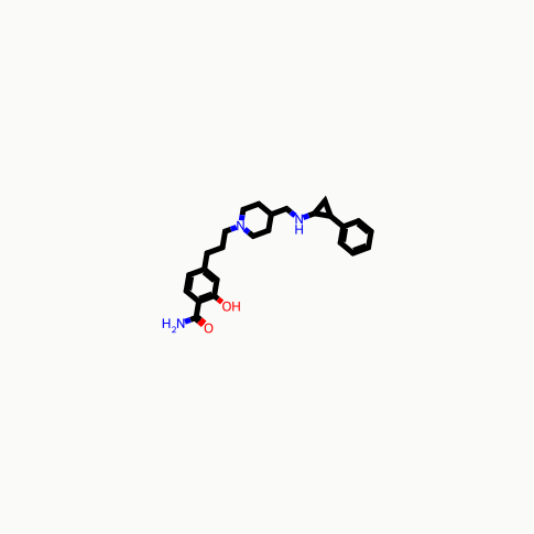 NC(=O)c1ccc(CCCN2CCC(CNC3CC3c3ccccc3)CC2)cc1O